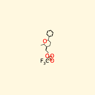 CC1OC(c2ccccc2)CCC1=CCOS(=O)(=O)C(F)(F)F